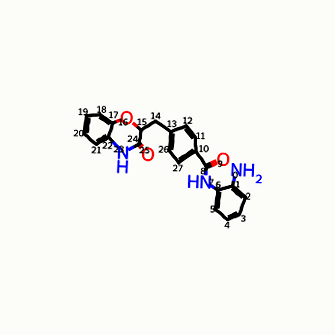 Nc1ccccc1NC(=O)c1ccc(CC2Oc3ccccc3NC2=O)cc1